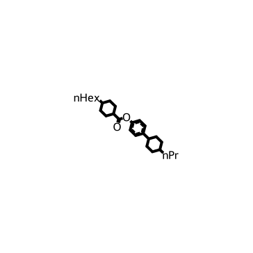 CCCCCCC1CCC(C(=O)Oc2ccc(C3CCC(CCC)CC3)cc2)CC1